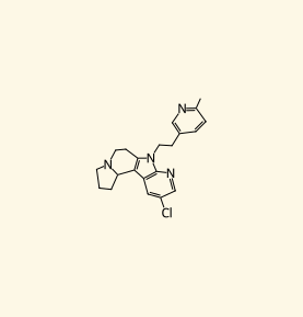 Cc1ccc(CCn2c3c(c4cc(Cl)cnc42)C2CCCN2CC3)cn1